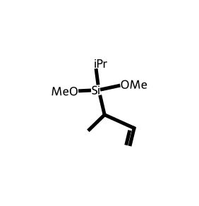 C=CC(C)[Si](OC)(OC)C(C)C